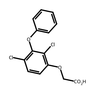 O=C(O)COc1ccc(Cl)c(Oc2ccccc2)c1Cl